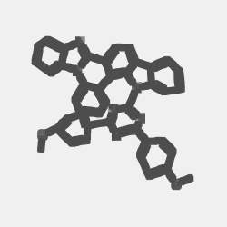 COc1ccc(-c2nc(-c3ccc(OC)cc3)nc(-n3c4ccccc4c4ccc5c(c6ccccc6n6c7ccccc7nc56)c43)n2)cc1